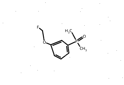 CP(C)(=O)c1cccc(OCF)c1